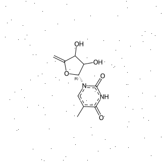 C=C1O[C@@H](n2cc(C)c(=O)[nH]c2=O)C(O)C1O